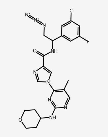 Cc1cnc(NC2CCOCC2)nc1-n1cnc(C(=O)NC(CN=[N+]=[N-])c2cc(F)cc(Cl)c2)c1